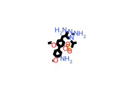 CCOc1cc(Cc2cnc(N)nc2N)cc(OS(=O)(=O)CC(C)C)c1-c1ccc(OC)c(N)c1